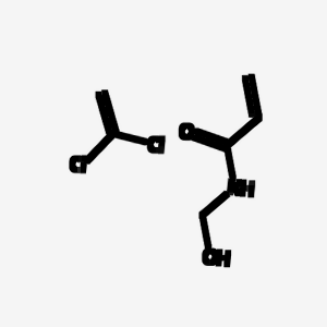 C=C(Cl)Cl.C=CC(=O)NCO